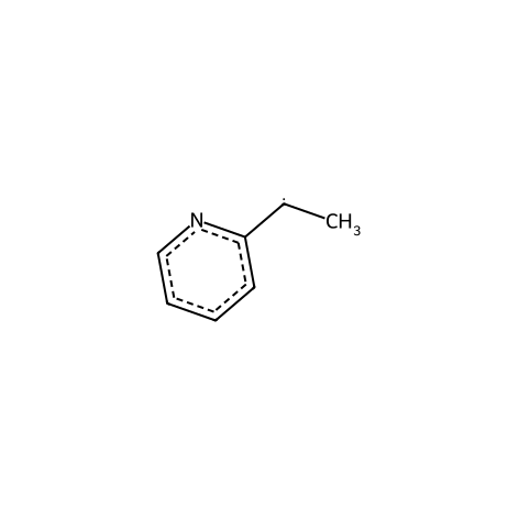 C[CH]c1ccccn1